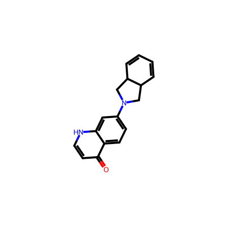 O=c1cc[nH]c2cc(N3CC4C=CC=CC4C3)ccc12